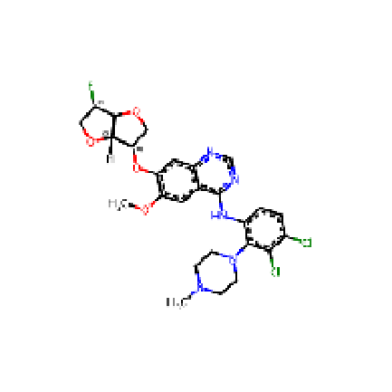 COc1cc2c(Nc3ccc(Cl)c(Cl)c3N3CCN(C)CC3)ncnc2cc1O[C@@H]1COC2[C@H](F)CO[C@H]21